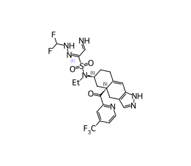 CCN([C@H]1CCC2=Cc3[nH]ncc3C[C@]2(C(=O)c2cc(C(F)(F)F)ccn2)C1)S(=O)(=O)/C(C=N)=N/NC(F)F